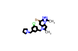 Cc1cc2c(cc(Br)c3nnc(C)n32)n1Cc1cc(Cl)cc(CN2CCCC2)c1